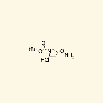 CC(C)(C)OC(=O)N1CCC(ON)C1.Cl